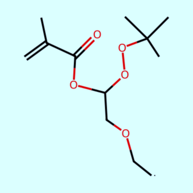 [CH2]COCC(OOC(C)(C)C)OC(=O)C(=C)C